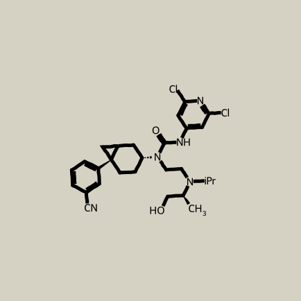 CC(C)N(CCN(C(=O)Nc1cc(Cl)nc(Cl)c1)[C@@H]1CC[C@]2(c3cccc(C#N)c3)CC2C1)[C@@H](C)CO